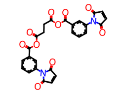 O=C(CCC(=O)OC(=O)c1cccc(N2C(=O)C=CC2=O)c1)OC(=O)c1cccc(N2C(=O)C=CC2=O)c1